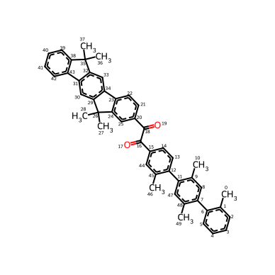 Cc1ccccc1-c1cc(C)c(-c2ccc(C(=O)C(=O)c3ccc4c(c3)C(C)(C)c3cc5c(cc3-4)C(C)(C)c3ccccc3-5)cc2C)cc1C